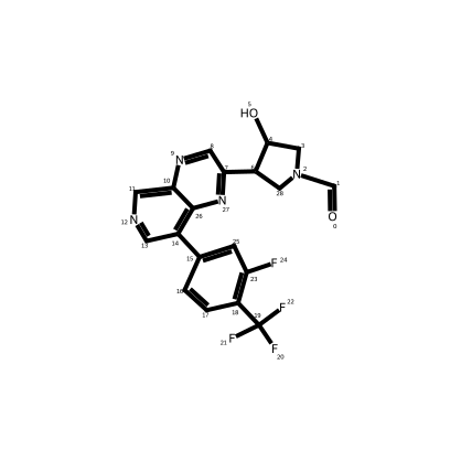 O=CN1CC(O)C(c2cnc3cncc(-c4ccc(C(F)(F)F)c(F)c4)c3n2)C1